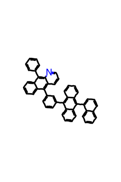 c1ccc(-c2c3ccccc3c(-c3cccc(-c4c5ccccc5c(-c5cccc6ccccc56)c5ccccc45)c3)c3cccnc23)cc1